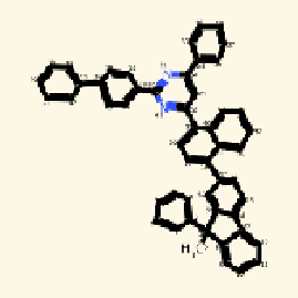 CC1(c2ccccc2)c2ccccc2-c2ccc(-c3ccc(-c4cc(-c5ccccc5)nc(-c5ccc(-c6ccccc6)cc5)n4)c4ccccc34)cc21